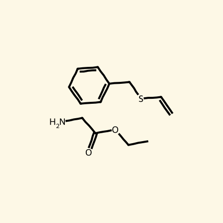 C=CSCc1ccccc1.CCOC(=O)CN